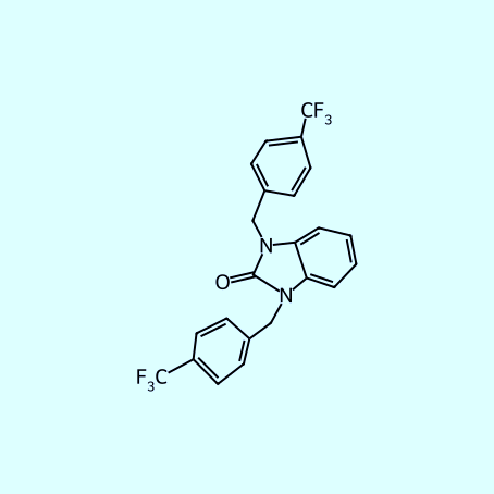 O=c1n(Cc2ccc(C(F)(F)F)cc2)c2ccccc2n1Cc1ccc(C(F)(F)F)cc1